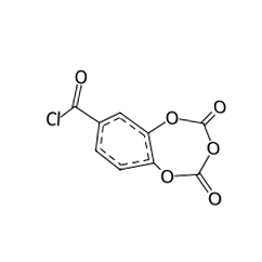 O=C1OC(=O)Oc2cc(C(=O)Cl)ccc2O1